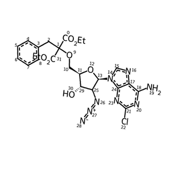 CCOC(=O)C(Cc1ccccc1)(OC[C@H]1O[C@@H](n2cnc3c(N)nc(Cl)nc32)C(N=[N+]=[N-])[C@@H]1O)C(=O)OCC